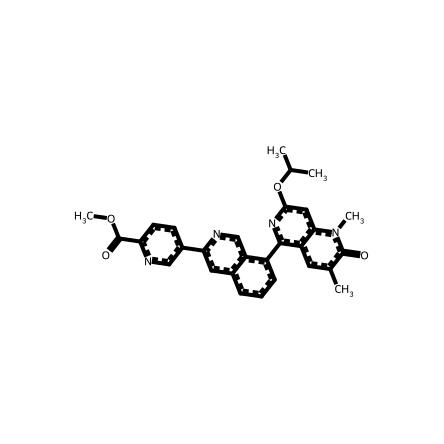 COC(=O)c1ccc(-c2cc3cccc(-c4nc(OC(C)C)cc5c4cc(C)c(=O)n5C)c3cn2)cn1